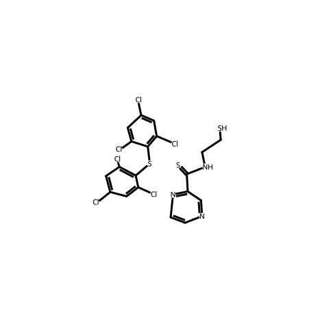 Clc1cc(Cl)c(Sc2c(Cl)cc(Cl)cc2Cl)c(Cl)c1.S=C(NCCS)c1cnccn1